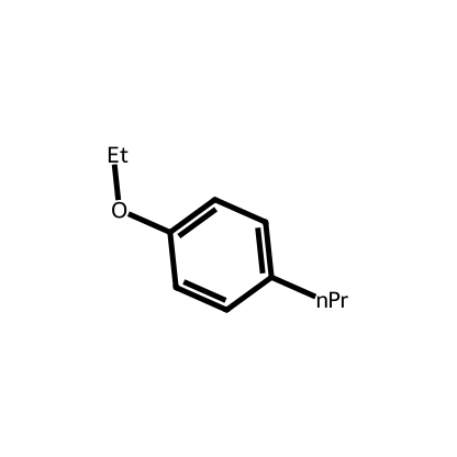 CCCc1ccc(OCC)cc1